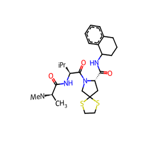 CN[C@H](C)C(=O)N[C@H](C(=O)N1CC2(C[C@H]1C(=O)NC1CCCc3ccccc31)SCCS2)C(C)C